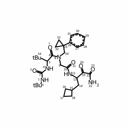 CC(C)(C)NC(=O)NC(C(=O)N(CC(=O)NC(CC1CCC1)C(=O)C(N)=O)CC1(c2ccccc2)CC1)C(C)(C)C